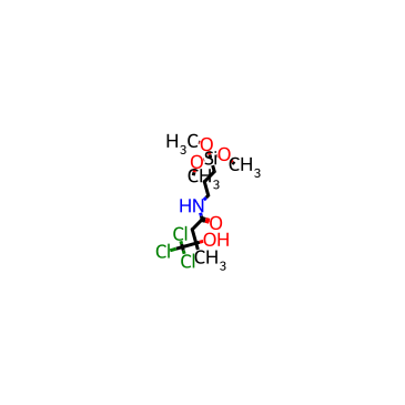 CO[Si](CCCNC(=O)CC(C)(O)C(Cl)(Cl)Cl)(OC)OC